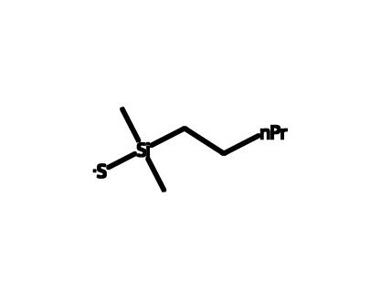 CCCCC[Si](C)(C)[S]